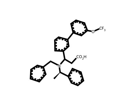 C[C@H](c1ccccc1)N(Cc1ccccc1)C(CC(=O)O)c1cccc(-c2cccc(OC(F)(F)F)c2)c1